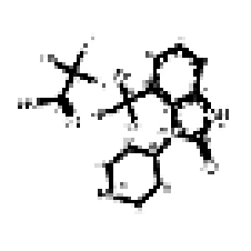 O=C(O)C(F)(F)F.O=c1[nH]c2cccc(C(F)(F)F)c2n1C1CCNCC1